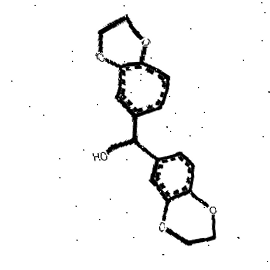 OC(c1ccc2c(c1)OCCO2)c1ccc2c(c1)OCCO2